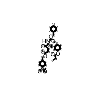 CCC(=O)Oc1ccccc1.O=C(CC1NC(NC(=O)OCc2ccccc2)C1=O)OCc1ccc([N+](=O)[O-])cc1